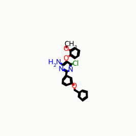 COc1ccccc1Oc1c(N)nc(-c2cccc(OCc3ccccc3)c2)nc1Cl